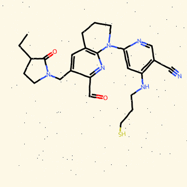 CCC1CCN(Cc2cc3c(nc2C=O)N(c2cc(NCCCS)c(C#N)cn2)CCC3)C1=O